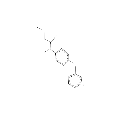 COCC(O)C(O)c1ccc(Oc2ccccc2)cc1